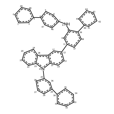 c1ccc(-c2ccc(Nc3cc(-c4ccc5c(c4)c4ccccc4n5-c4cccc(-c5ccccc5)c4)ccc3-c3ccccc3)cc2)cc1